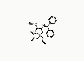 C=CC[Si](CC=C)(CC=C)CC(N=C(c1ccccc1)c1ccccc1)C(=O)OC(C)(C)C